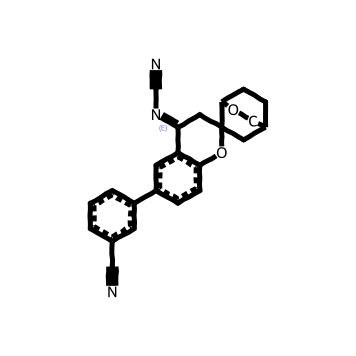 N#C/N=C1\CC2(CC3CCC2OC3)Oc2ccc(-c3cccc(C#N)c3)cc21